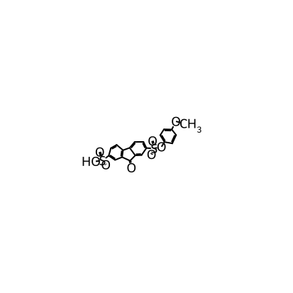 COc1ccc(OS(=O)(=O)c2ccc3c(c2)C(=O)c2cc(S(=O)(=O)O)ccc2-3)cc1